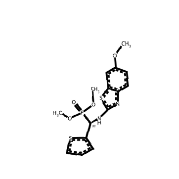 COc1ccc2nc(N[C@@H](c3cccs3)P(=O)(OC)OC)sc2c1